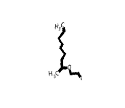 CCCCCCCC(C)OCCI